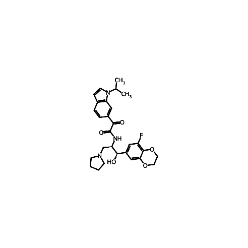 CC(C)n1ccc2ccc(C(=O)C(=O)N[C@H](CN3CCCC3)[C@H](O)c3cc(F)c4c(c3)OCCO4)cc21